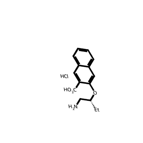 CC[C@H](CN)Oc1cc2ccccc2cc1C(=O)O.Cl